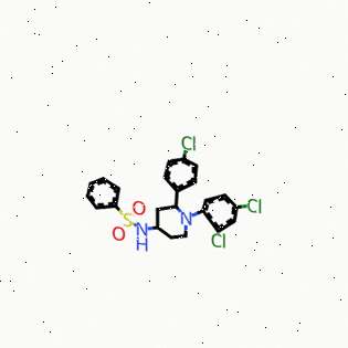 O=S(=O)(NC1CCN(c2ccc(Cl)cc2Cl)C(c2ccc(Cl)cc2)C1)c1ccccc1